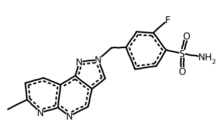 Cc1ccc2c(ncc3cn(Cc4ccc(S(N)(=O)=O)c(F)c4)nc32)n1